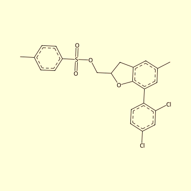 Cc1ccc(S(=O)(=O)OCC2Cc3cc(C)cc(-c4ccc(Cl)cc4Cl)c3O2)cc1